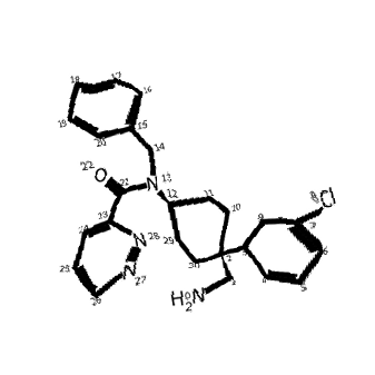 NC[C@]1(C2C=CC=C(Cl)C2)CC[C@H](N(Cc2ccccc2)C(=O)c2cccnn2)CC1